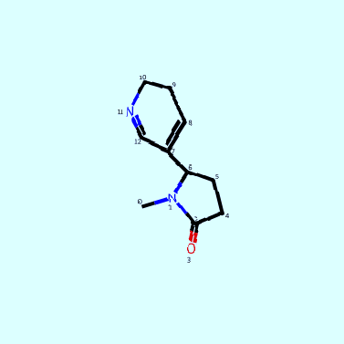 CN1C(=O)CCC1C1=CCCN=C1